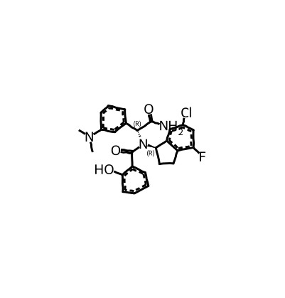 CN(C)c1cccc([C@H](C(N)=O)N(C(=O)c2ccccc2O)[C@@H]2CCc3c(F)cc(Cl)cc32)c1